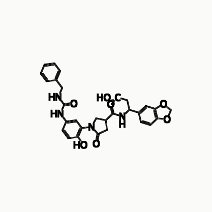 O=C(O)CC(NC(=O)C1CC(=O)N(c2cc(NC(=O)NCc3ccccc3)ccc2O)C1)c1ccc2c(c1)OCO2